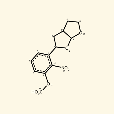 O=C(O)Oc1cccc(C2CC3CCOC3O2)c1[N+](=O)[O-]